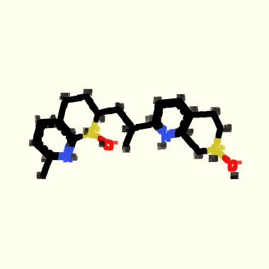 Cc1ccc2c(n1)[S+]([O-])C(CC(C)c1ccc3c(n1)C[S+]([O-])CC3)CC2